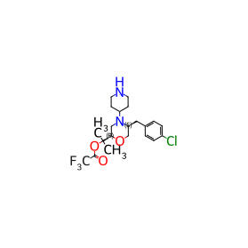 CC(C)(OC(=O)C(F)(F)F)[C@H]1CN(C2CCNCC2)[C@@H](Cc2ccc(Cl)cc2)CO1